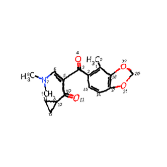 Cc1c(C(=O)C(=CN(C)C)C(=O)C2CC2)ccc2c1OCO2